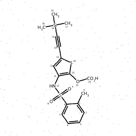 Cc1ccccc1S(=O)(=O)Nc1cc(C#C[Si](C)(C)C)sc1OC(=O)O